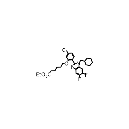 CCOC(=O)CCCCCOc1cc(Cl)ccc1-c1nc2cc(F)c(F)cc2n1CC1CCCCC1